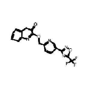 O=C1Cc2ccccc2N=C1OCc1ccc(-c2noc(C(F)(F)F)n2)cn1